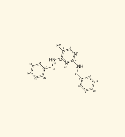 Fc1cnc(NCc2ccccc2)nc1NCc1ccccc1